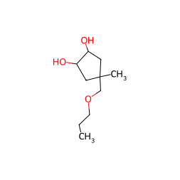 CCCOCC1(C)CC(O)C(O)C1